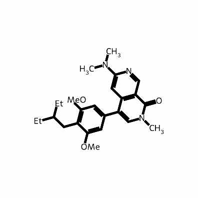 CCC(CC)Cc1c(OC)cc(-c2cn(C)c(=O)c3cnc(N(C)C)cc23)cc1OC